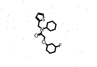 O=C(COC1CCCC(F)C1)N(Cc1cccs1)C1CCCCC1